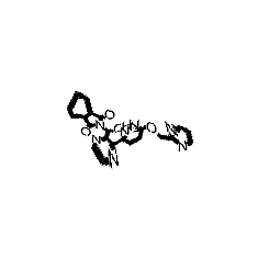 CC(c1nccnc1-c1ccc(OCc2ncccn2)nn1)N1C(=O)c2ccccc2C1=O